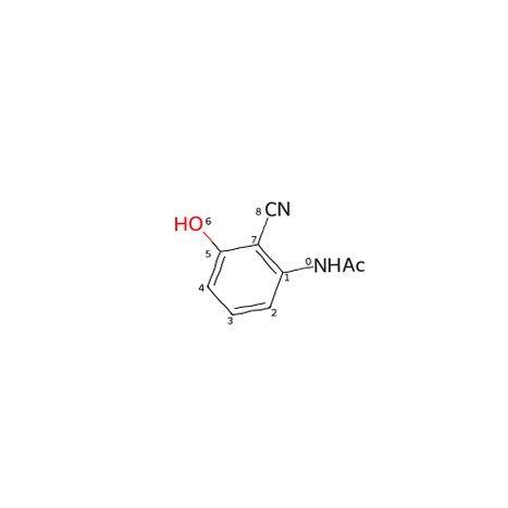 CC(=O)Nc1cccc(O)c1C#N